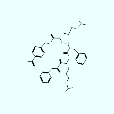 N=C(N)c1ccc(CNC(=O)[C@H](CCCNC(N)N)NN[C@@H](Cc2ccccc2)C(=O)N[C@@H](CCCNC(N)N)C(=O)C(=O)Cc2ccccc2)cc1